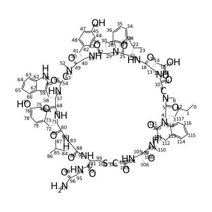 CCCC[C@H]1C(=O)N(C)CC(=O)N[C@@H](CC(=O)O)C(=O)N[C@@H](C(C)C)C(=O)N(C)[C@@H](Cc2ccccc2)C(=O)N[C@@H](Cc2ccc(O)cc2)C(=O)N(C)CC(=O)N[C@@H](Cc2c[nH]c3ccccc23)C(=O)N[C@@H](Cc2ccc(O)cc2)C(=O)N[C@@H](CC(C)C)C(=O)N[C@H](C(=O)NCC(N)=O)CSCC(=O)N[C@@H](C)C(=O)N(C)[C@H]2Cc3ccccc3N1C2=O